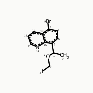 CC(OCI)c1ccc(Br)c2cccnc12